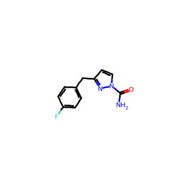 NC(=O)n1ccc(Cc2ccc(F)cc2)n1